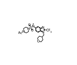 CC(=O)N1CCN(S(=O)(=O)N(C)c2ccc3c(c2)nc(C(F)(F)F)n3CC2CCOCC2)CC1